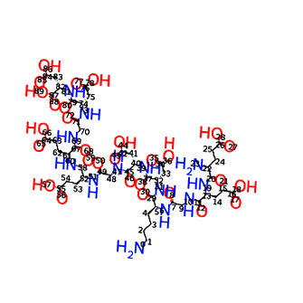 NCCCC[C@H](NC(=O)CNC(=O)[C@H](CCC(=O)O)NC(=O)[C@@H](N)CCC(=O)O)C(=O)N[C@@H](CC(=O)O)C(=O)N[C@@H](CC(=O)O)C(=O)NCC(=O)N[C@@H](CCC(=O)O)C(=O)N[C@@H](CCC(=O)O)C(=O)NCC(=O)N[C@@H](CC(=O)O)C(=O)N[C@@H](CC(=O)O)C(=O)O